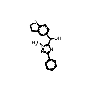 Cn1nc(-c2ccccc2)nc1C(O)c1ccc2c(c1)CCO2